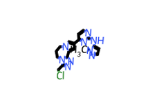 Cn1nccc1Nc1nccc(-c2cc3n(c2)CCCn2c(CCl)nnc2-3)n1